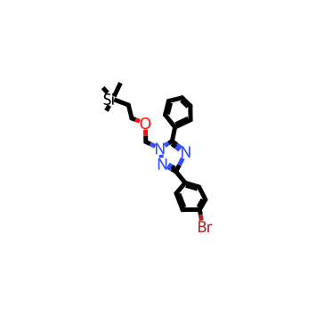 C[Si](C)(C)CCOCn1nc(-c2ccc(Br)cc2)nc1-c1ccccc1